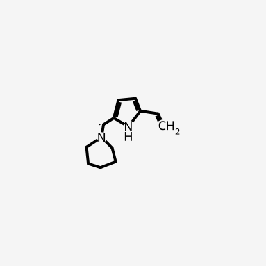 C=Cc1ccc([CH]N2CCCCC2)[nH]1